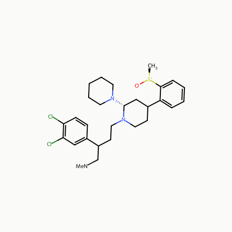 CNCC(CCN1CCC(c2ccccc2[S@+](C)[O-])C[C@H]1N1CCCCC1)c1ccc(Cl)c(Cl)c1